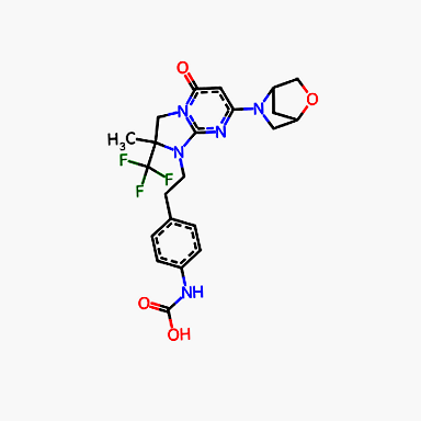 CC1(C(F)(F)F)Cn2c(nc(N3CC4CC3CO4)cc2=O)N1CCc1ccc(NC(=O)O)cc1